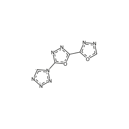 [c]1nnnn1-c1nnc(-c2nnco2)o1